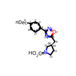 CCCCCCCCCCc1ccc(-c2noc(C[C@H]3CCN(C(=O)O)C3)n2)cc1